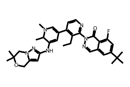 CCc1c(C2=CN(C)C(C)C(Nc3cc4n(n3)CC(C)(C)OC4)=C2)ccnc1-n1ncc2cc(C(C)(C)C)cc(F)c2c1=O